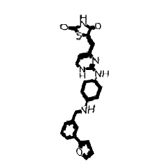 O=C1NC(=O)/C(=C/C2=CCNC(N[C@H]3CC[C@H](NCc4cccc(-c5ccco5)c4)CC3)=N2)S1